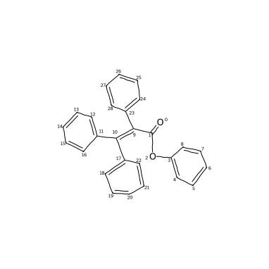 O=C(Oc1ccccc1)C(=C(c1ccccc1)c1ccccc1)c1ccccc1